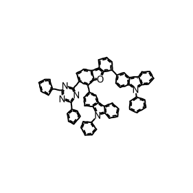 c1ccc(-c2nc(-c3ccccc3)nc(-c3ccc4c(oc5c(-c6ccc7c(c6)c6ccccc6n7-c6ccccc6)cccc54)c3-c3ccc4c(c3)c3ccccc3n4-c3ccccc3)n2)cc1